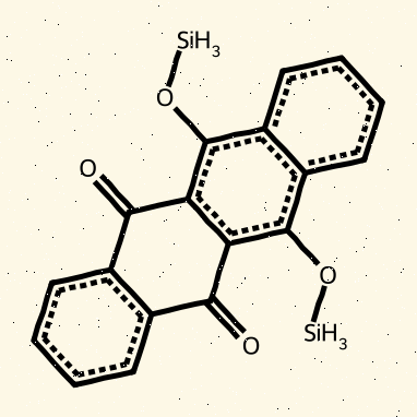 O=C1c2ccccc2C(=O)c2c1c(O[SiH3])c1ccccc1c2O[SiH3]